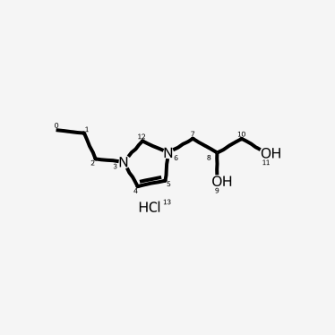 CCCN1C=CN(CC(O)CO)C1.Cl